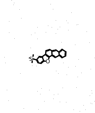 C[Si](C)(C)c1ccc2oc3c4cc5ccccc5cc4ccc3c2c1